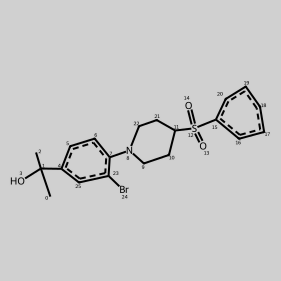 CC(C)(O)c1ccc(N2CCC(S(=O)(=O)c3ccccc3)CC2)c(Br)c1